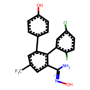 N/C(=N\O)c1cc(C(F)(F)F)cc(-c2ccc(O)cc2)c1-c1cc(Cl)ccc1F